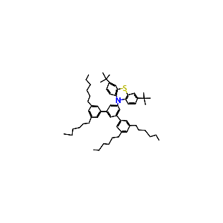 CCCCCCc1cc(CCCCCC)cc(-c2cc(-c3cc(CCCCCC)cc(CCCCCC)c3)cc(N3c4ccc(C(C)(C)C)cc4Sc4cc(C(C)(C)C)ccc43)c2)c1